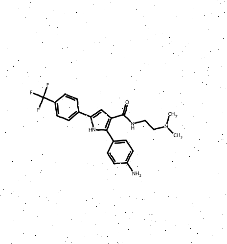 CN(C)CCNC(=O)c1cc(-c2ccc(C(F)(F)F)cc2)[nH]c1-c1ccc(N)cc1